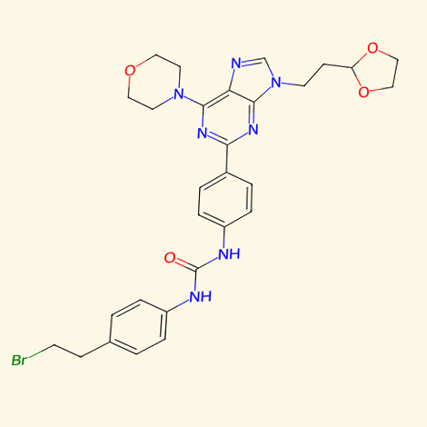 O=C(Nc1ccc(CCBr)cc1)Nc1ccc(-c2nc(N3CCOCC3)c3ncn(CCC4OCCO4)c3n2)cc1